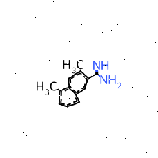 Cc1cc2c(C)cccc2cc1C(=N)N